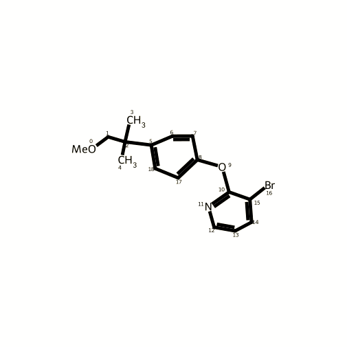 COCC(C)(C)c1ccc(Oc2ncccc2Br)cc1